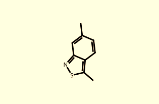 Cc1ccc2c(C)snc2c1